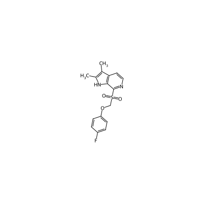 Cc1[nH]c2c(S(=O)(=O)COc3ccc(F)cc3)nccc2c1C